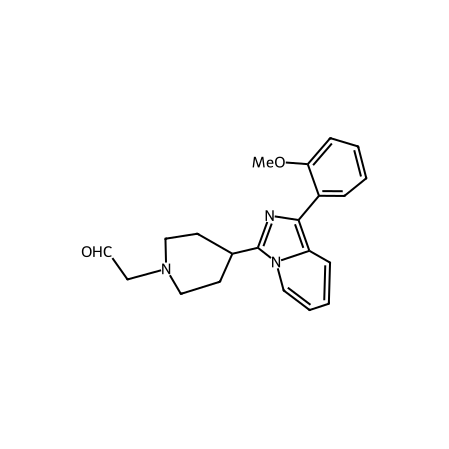 COc1ccccc1-c1nc(C2CCN(CC=O)CC2)n2ccccc12